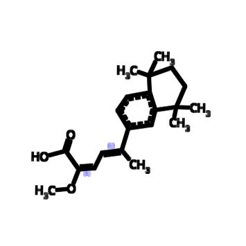 CO/C(=C/C=C(\C)c1ccc2c(c1)C(C)(C)CCC2(C)C)C(=O)O